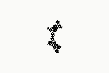 CC(C)(c1ccc(N(c2ccc(F)cc2)c2ccc3ccc4c(N(c5ccccc5)c5ccc(F)cc5)ccc5ccc2c3c54)cc1)c1ccc(N(c2ccc(F)cc2)c2ccc3ccc4c(N(c5ccccc5)c5ccc(F)cc5)ccc5ccc2c3c54)cc1